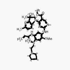 C=CC(=O)Nc1cc(Nc2ncc(C(=O)OC(C)C)c(N3CC(C)(C)c4nc(C)ccc43)n2)c(OC)cc1N(C)CCN1CCCC1